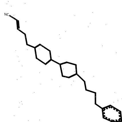 CCc1ccc(CCCCC2CCC(C3CCC(CCC=CC#N)CC3)CC2)cc1